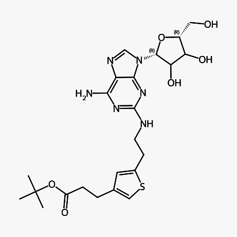 CC(C)(C)OC(=O)CCc1csc(CCNc2nc(N)c3ncn([C@@H]4O[C@H](CO)C(O)C4O)c3n2)c1